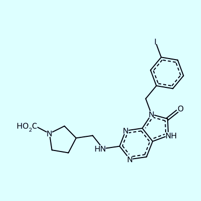 O=C(O)N1CCC(CNc2ncc3[nH]c(=O)n(Cc4cccc(I)c4)c3n2)C1